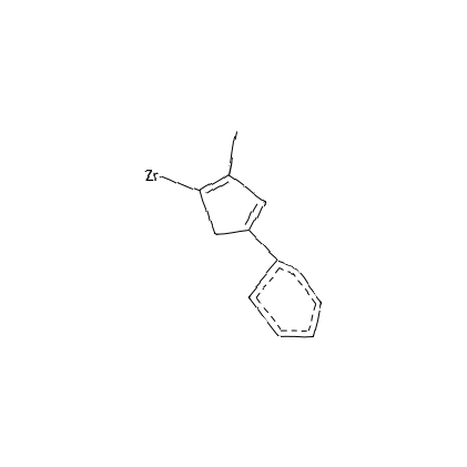 CC1=[C]([Zr])CC(c2ccccc2)=C1